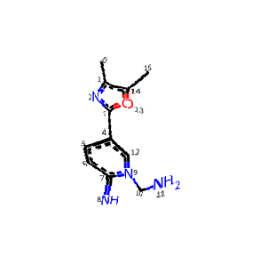 Cc1nc(-c2ccc(=N)n(CN)c2)oc1C